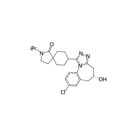 CC(C)N1CCC2(CCC(c3nnc4n3-c3ccc(Cl)cc3C[C@@H](O)C4)CC2)C1=O